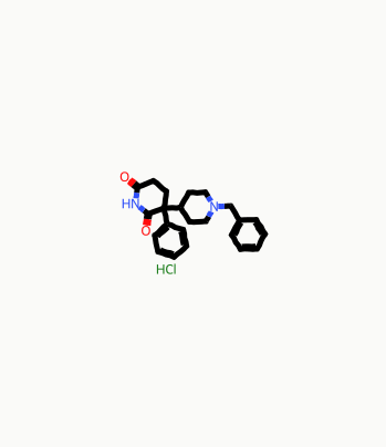 Cl.O=C1CCC(c2ccccc2)(C2CCN(Cc3ccccc3)CC2)C(=O)N1